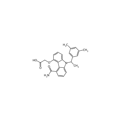 Cc1cc(C)cc(C(C)n2c3cccc(OCC(=O)O)c3c3c(C(N)=O)cccc32)c1